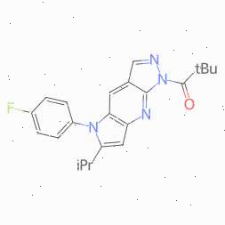 CC(C)c1cc2nc3c(cnn3C(=O)C(C)(C)C)cc2n1-c1ccc(F)cc1